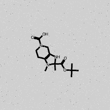 CN1C2=C(CN(C(=O)O)CC2)NC1(C)C(=O)OC(C)(C)C